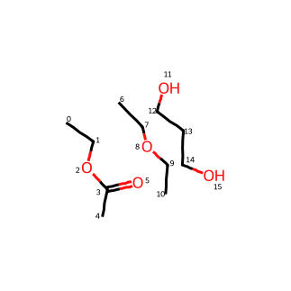 CCOC(C)=O.CCOCC.OCCCO